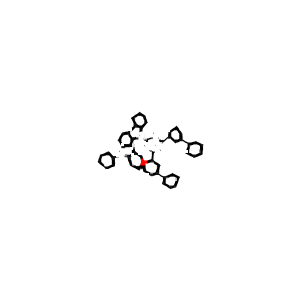 c1ccc(-c2cccc(C3=NC(n4c5ccccc5c5ccc6c(c7ccccc7n6-c6ccccc6)c54)NC(c4cccc(-c5ccccc5)c4)=N3)c2)cc1